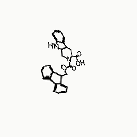 O=C(O)[C@@H]1CC2c3ccccc3NC2CN1C(=O)OCC1c2ccccc2-c2ccccc21